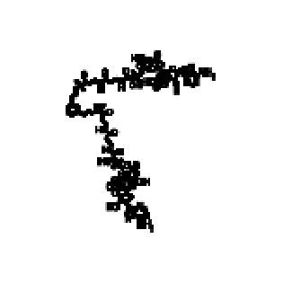 CC(C)(CCCc1cccc(CCCC2(C(=O)CCNC(=O)CCNC(=O)C(O)C(C)(C)COP(=O)(O)OP(=O)(O)OCC3OC(n4cnc5c(N)ncnc54)C(O)C3OP(=O)(O)O)CC2)c1)C(=O)CCNC(=O)CCNC(=O)C(O)C(C)(C)COP(=O)(O)OP(=O)(O)OCC1OC(n2cnc3c(N)ncnc32)C(O)C1OP(=O)(O)O